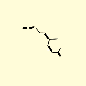 C=C(F)/C=C\C(=C/CN=C=O)C(F)(F)F